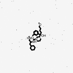 CNCC(CC1CCCCC1)NC(=O)N1CCC[C@@H]([C@](O)(CCCCOC)c2cccc(C)c2)C1